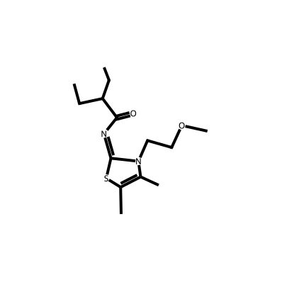 CCC(CC)C(=O)N=c1sc(C)c(C)n1CCOC